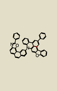 C1=C=c2ccc3ccc4nc(-c5ccccc5)oc4c3c2=CC=1N(c1ccc2c(c1)oc1ccccc12)c1ccccc1C1=CC(c2ccccc2)=CCC1